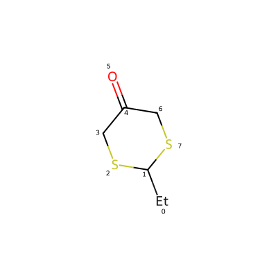 CCC1SCC(=O)CS1